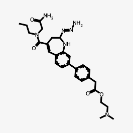 CCCN(CC(N)=O)C(=O)C1=Cc2ccc(-c3ccc(CC(=O)OCCN(C)C)cc3)cc2NC(N=NN)C1